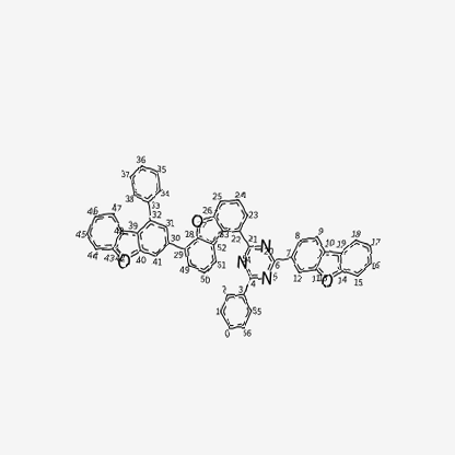 c1ccc(-c2nc(-c3ccc4c(c3)oc3ccccc34)nc(-c3cccc4oc5c(-c6cc(-c7ccccc7)c7c(c6)oc6ccccc67)cccc5c34)n2)cc1